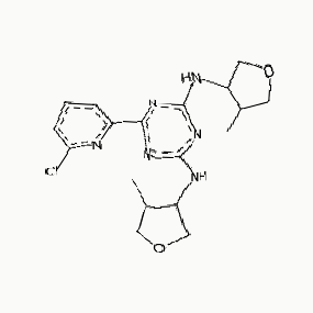 CC1COCC1Nc1nc(NC2COCC2C)nc(-c2cccc(Cl)n2)n1